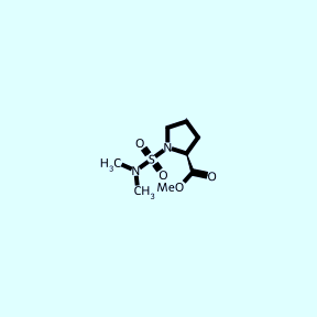 COC(=O)[C@@H]1C[CH]CN1S(=O)(=O)N(C)C